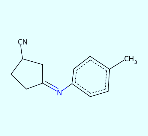 Cc1ccc(N=C2CCC(C#N)C2)cc1